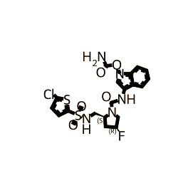 NC(=O)On1cc(NC(=O)N2C[C@H](F)C[C@H]2CNS(=O)(=O)c2ccc(Cl)s2)c2ccccc21